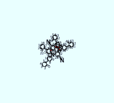 Cc1ccccc1-c1ccc2c(c1)c1cc(-c3ccccc3C)ccc1n2-c1cc(C#N)cc(-n2c3ccc(-c4ccccc4C)cc3c3cc(-c4ccccc4C)ccc32)c1-c1ccc(C#N)cc1C(F)(F)F